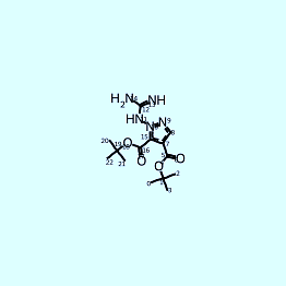 CC(C)(C)OC(=O)c1cnn(NC(=N)N)c1C(=O)OC(C)(C)C